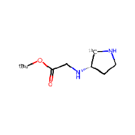 CC(C)(C)OC(=O)CN[C@H]1CCN[13CH2]1